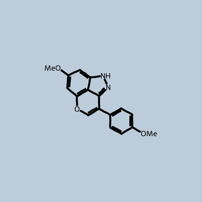 COc1ccc(C2=COc3cc(OC)cc4[nH]nc2c34)cc1